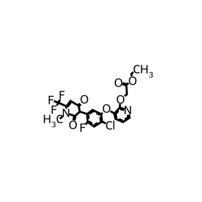 CCOC(=O)COc1ncccc1Oc1cc(C2C(=O)C=C(C(F)(F)F)N(C)C2=O)c(F)cc1Cl